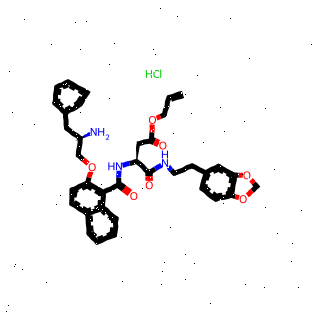 C=CCOC(=O)C[C@H](NC(=O)c1c(OC[C@H](N)Cc2ccccc2)ccc2ccccc12)C(=O)NCCc1ccc2c(c1)OCO2.Cl